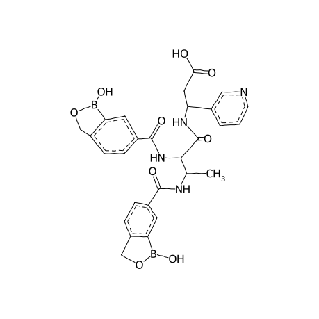 CC(NC(=O)c1ccc2c(c1)B(O)OC2)C(NC(=O)c1ccc2c(c1)B(O)OC2)C(=O)NC(CC(=O)O)c1cccnc1